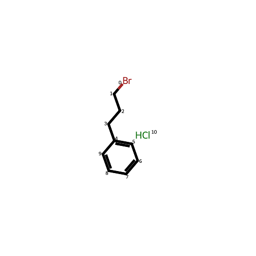 BrCCCc1ccccc1.Cl